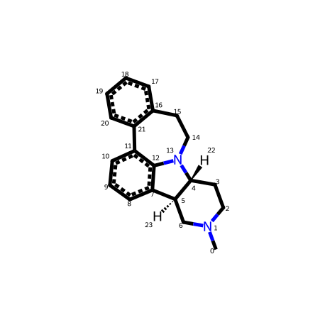 CN1CC[C@@H]2[C@@H](C1)c1cccc3c1N2CCc1ccccc1-3